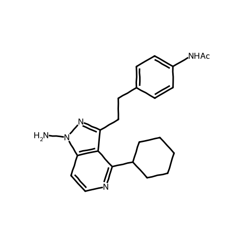 CC(=O)Nc1ccc(CCc2nn(N)c3ccnc(C4CCCCC4)c23)cc1